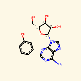 Nc1ncnc2c1ncn2[C@@H]1O[C@H](CO)[C@@H](O)[C@H]1O.Oc1ccccc1